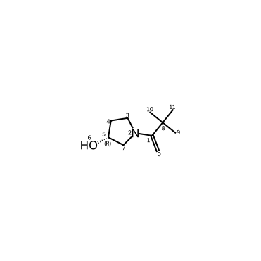 C=C(N1CC[C@@H](O)C1)C(C)(C)C